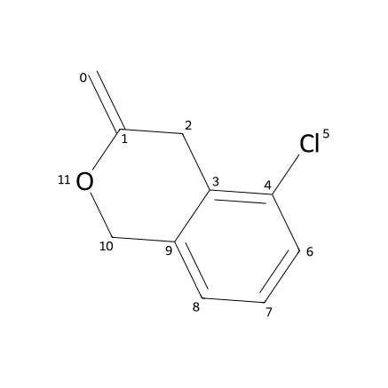 C=C1Cc2c(Cl)cccc2CO1